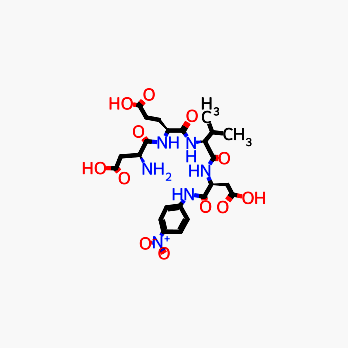 CC(C)[C@H](NC(=O)[C@H](CCC(=O)O)NC(=O)[C@@H](N)CC(=O)O)C(=O)N[C@@H](CC(=O)O)C(=O)Nc1ccc([N+](=O)[O-])cc1